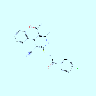 CC(=O)C1=C(C)NC(SCC(=O)c2ccc(Cl)cc2)=C(C#N)C1c1ccccc1